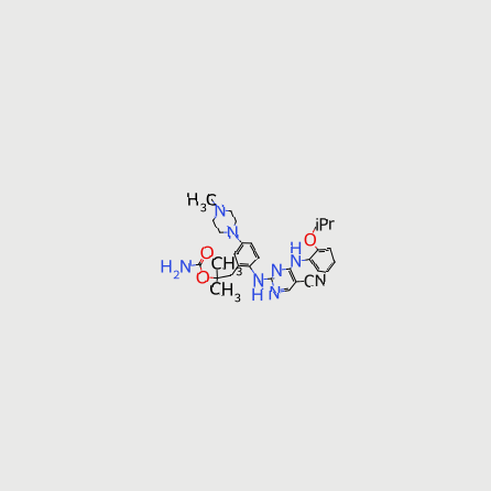 CC(C)Oc1ccccc1Nc1nc(Nc2ccc(N3CCN(C)CC3)cc2CC(C)(C)OC(N)=O)ncc1C#N